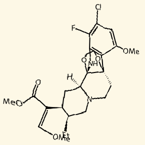 CC[C@@H]1CN2CC[C@@]34OCCO[C@@]3(Nc3c(F)c(Cl)cc(OC)c34)[C@@H]2C[C@@H]1/C(=C\OC)C(=O)OC